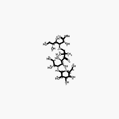 CC(C)(C)C(=O)[C@H](O)[C@@H](OCC(C)(C)C(=O)[C@H](O)[C@@H](O)[C@H](OC1OC(CO)C(O)C(O)C1O)[C@H](O)CO)[C@H](O)[C@H](O)CO